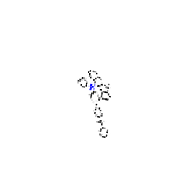 CC(C)(c1ccccc1)c1ccc(-c2ccc(N(c3ccccc3)c3c4c(cc5ccccc35)C(C)(C)c3ccccc3-4)cc2)cc1